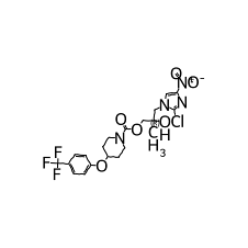 C[C@](O)(COC(=O)N1CCC(Oc2ccc(C(F)(F)F)cc2)CC1)Cn1cc([N+](=O)[O-])nc1Cl